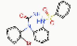 NC(=O)N(c1ccccc1Br)c1ccccc1NS(=O)(=O)c1ccccc1